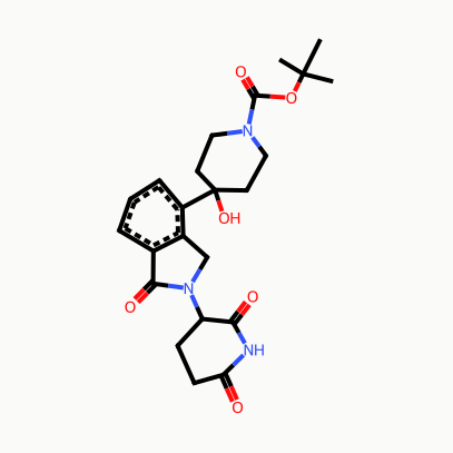 CC(C)(C)OC(=O)N1CCC(O)(c2cccc3c2CN(C2CCC(=O)NC2=O)C3=O)CC1